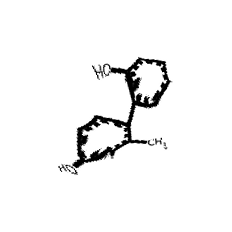 Cc1cc(O)ccc1-c1ccccc1O